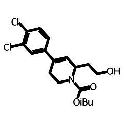 CC(C)COC(=O)N1CCC(c2ccc(Cl)c(Cl)c2)=CC1CCO